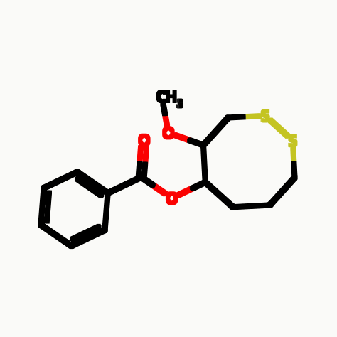 COC1CSSCCCC1OC(=O)c1ccccc1